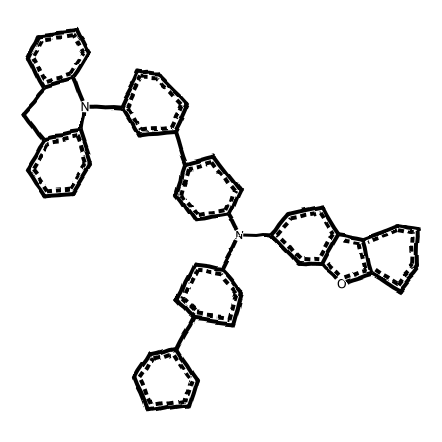 c1ccc(-c2ccc(N(c3ccc(-c4cccc(N5c6ccccc6Cc6ccccc65)c4)cc3)c3ccc4c(c3)oc3ccccc34)cc2)cc1